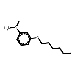 CCCCCCOc1cccc(N(C)N)c1